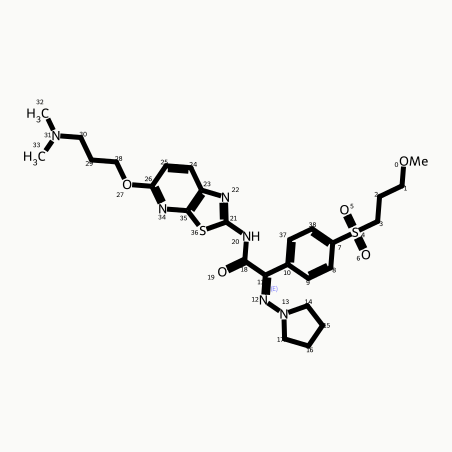 COCCCS(=O)(=O)c1ccc(/C(=N\N2CCCC2)C(=O)Nc2nc3ccc(OCCCN(C)C)nc3s2)cc1